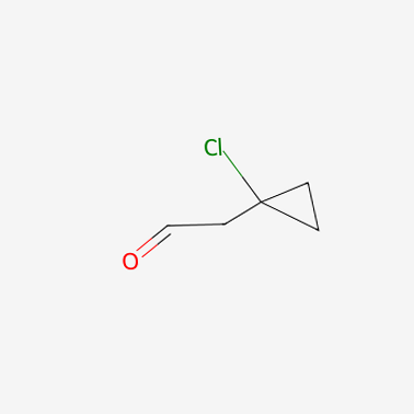 O=CCC1(Cl)CC1